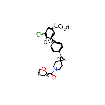 COc1c(Cl)cc(C(=O)O)cc1-c1ccc([C@H]2CC23CCN(C(=O)[C@H]2CCCO2)CC3)cc1